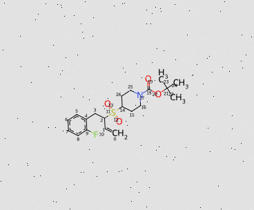 C=CC(Cc1ccccc1F)S(=O)(=O)C1CCN(C(=O)OC(C)(C)C)CC1